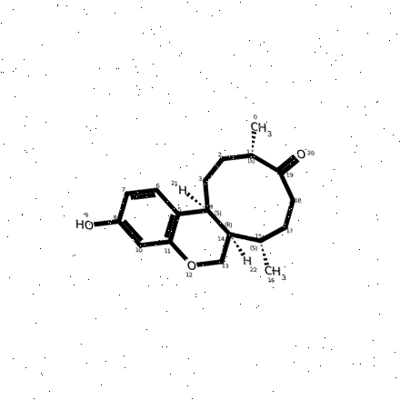 C[C@H]1CC[C@@H]2c3ccc(O)cc3OC[C@@H]2[C@@H](C)CCC1=O